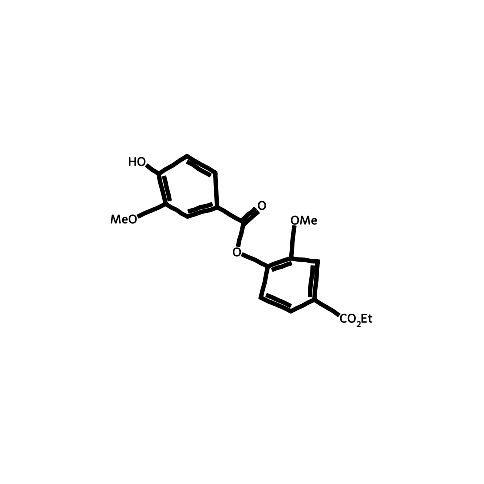 CCOC(=O)c1ccc(OC(=O)c2ccc(O)c(OC)c2)c(OC)c1